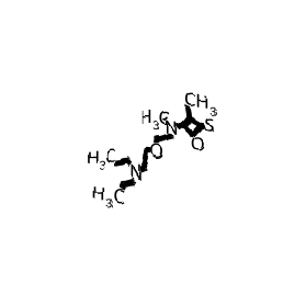 CCCN(CCC)CCOCCN(C)c1c(CC)c(=S)c1=O